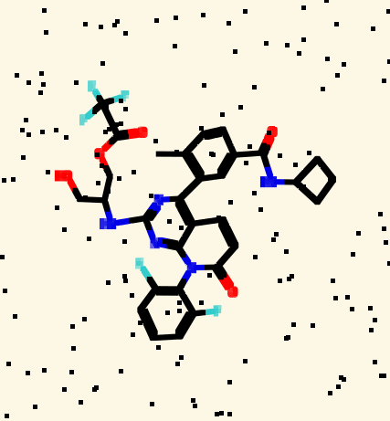 Cc1ccc(C(=O)NC2CCC2)cc1-c1nc(NC(CO)COC(=O)C(F)(F)F)nc2c1ccc(=O)n2-c1c(F)cccc1F